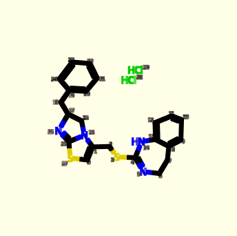 C1=C(CSC2=NCCc3ccccc3N2)N2CC(Cc3ccccc3)N=C2S1.Cl.Cl